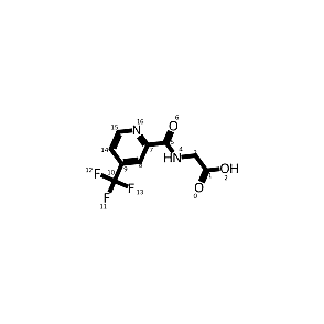 O=C(O)CNC(=O)c1cc(C(F)(F)F)ccn1